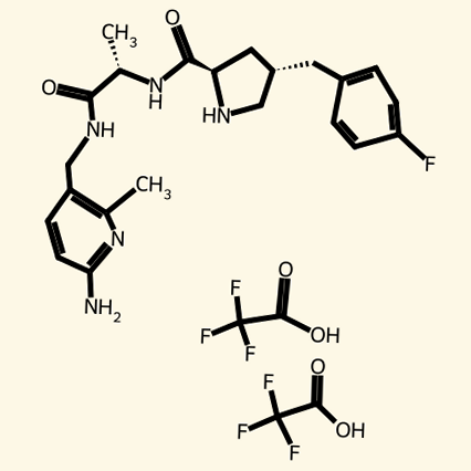 Cc1nc(N)ccc1CNC(=O)[C@H](C)NC(=O)[C@H]1C[C@H](Cc2ccc(F)cc2)CN1.O=C(O)C(F)(F)F.O=C(O)C(F)(F)F